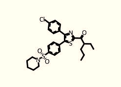 CCCC(CC)C(=O)c1nc(-c2ccc(Cl)cc2)c(-c2ccc(S(=O)(=O)N3CCCCC3)cc2)s1